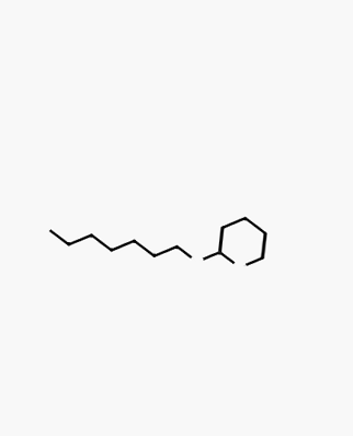 [CH2]CCCCCCOC1CCCCO1